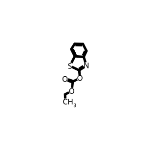 CCOC(=O)Oc1nc2ccccc2s1